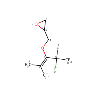 FC(F)(F)C(=C(OCC1CO1)C(F)(F)C(F)(F)F)C(F)(F)F